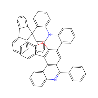 c1ccc(-c2nc3ccccc3c3c2cc(-c2ccccc2N2c4ccccc4C4(c5ccccc5-c5ccccc54)c4ccccc42)c2oc4ccccc4c23)cc1